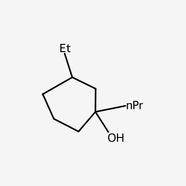 CCCC1(O)CCCC(CC)C1